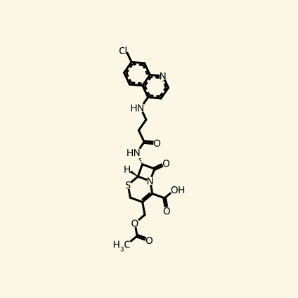 CC(=O)OCC1=C(C(=O)O)N2C(=O)[C@@H](NC(=O)CCNc3ccnc4cc(Cl)ccc34)[C@H]2SC1